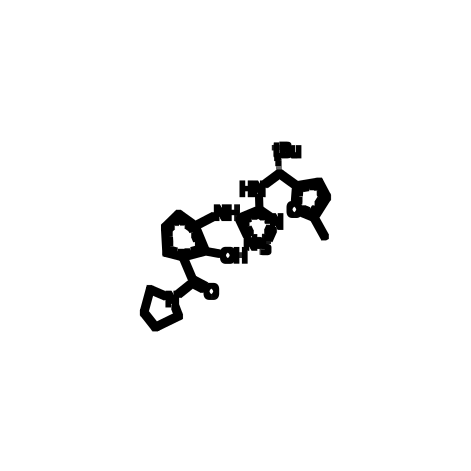 Cc1ccc([C@H](Nc2nsnc2Nc2cccc(C(=O)N3CCCC3)c2O)C(C)(C)C)o1